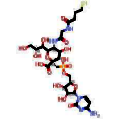 Nc1ccn([C@@H]2O[C@H](COP(=O)(O)C[C@@]3(C(=O)O)CC(O)[C@@H](NC(=O)CNC(=O)CCCS)C(C(O)[C@H](O)CO)O3)[C@H](O)[C@@H]2O)c(=O)n1